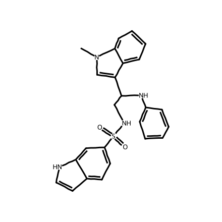 Cn1cc(C(CNS(=O)(=O)c2ccc3cc[nH]c3c2)Nc2ccccc2)c2ccccc21